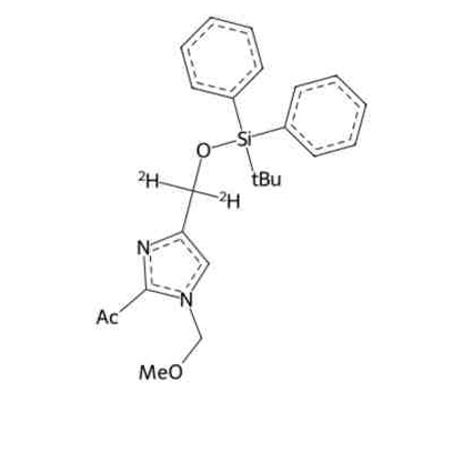 [2H]C([2H])(O[Si](c1ccccc1)(c1ccccc1)C(C)(C)C)c1cn(COC)c(C(C)=O)n1